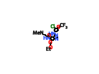 CCOCCOc1cc2ncnc(Nc3ccc(OCC(F)(F)F)c(Cl)c3)c2cc1NC(=O)/C=C/CNC